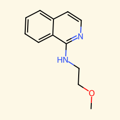 COCCNc1nccc2ccccc12